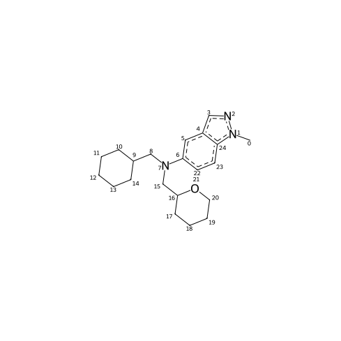 Cn1ncc2cc(N(CC3CCCCC3)CC3CCCCO3)ccc21